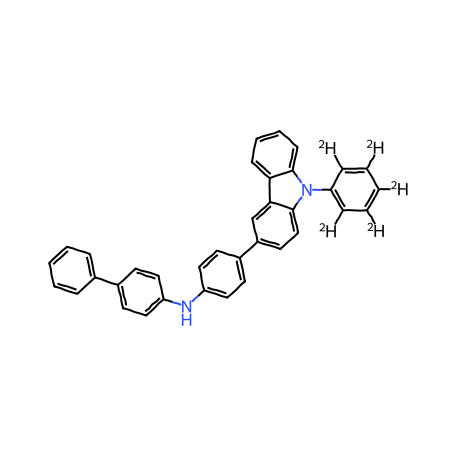 [2H]c1c([2H])c([2H])c(-n2c3ccccc3c3cc(-c4ccc(Nc5ccc(-c6ccccc6)cc5)cc4)ccc32)c([2H])c1[2H]